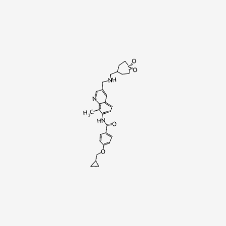 Cc1c(NC(=O)c2ccc(OCC3CC3)cc2)ccc2cc(CNCC3CCS(=O)(=O)CC3)cnc12